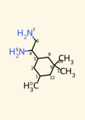 CC1CC(C(N)CN)CC(C)(C)C1